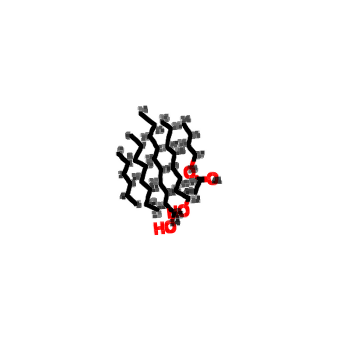 CCCCCC.CCCCCCCC.CCCCCCCCCCO.CCCCCCCCO.CCCCOC(C)=O